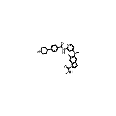 CNC(=O)n1ccc2cc(N(C)c3ccnc(NC(=O)c4ccc(C5CCN(C)CC5)cc4)c3)c(C)cc21